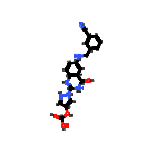 N#Cc1cccc(CNc2ccc3nc(-n4cc(OC(=O)O)cn4)[nH]c(=O)c3c2)c1